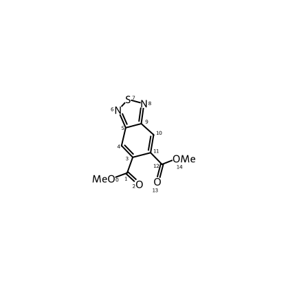 COC(=O)c1cc2nsnc2cc1C(=O)OC